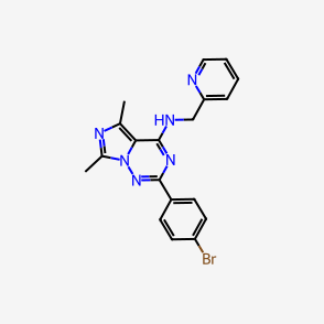 Cc1nc(C)n2nc(-c3ccc(Br)cc3)nc(NCc3ccccn3)c12